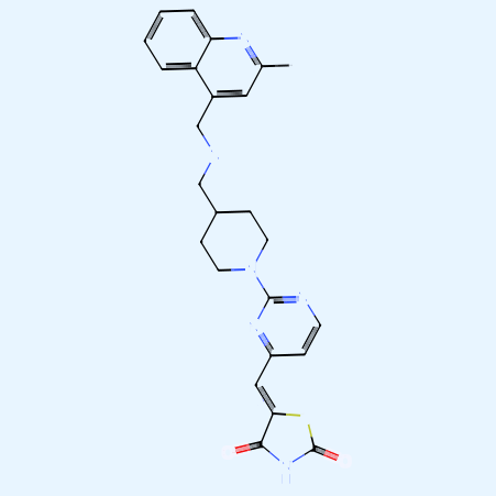 O=C1NC(=O)/C(=C/c2ccnc(N3CCC(CNCc4cc(C(F)(F)F)nc5ccccc45)CC3)n2)S1